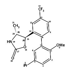 COc1ccc(C(C)C)cc1-c1ccc(C(F)(F)F)cc1[C@H]1OC(=O)N[C@@H]1C